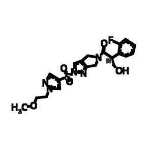 COCCn1cc(S(=O)(=O)n2cc3c(n2)CN(C(=O)[C@H](CO)c2ccccc2F)C3)cn1